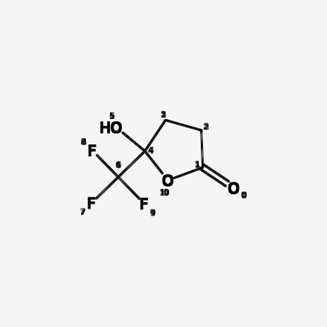 O=C1CCC(O)(C(F)(F)F)O1